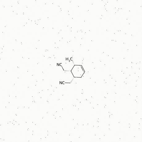 C[C@@H]1C=CC[C@H](CC#N)[C@@H]1CC#N